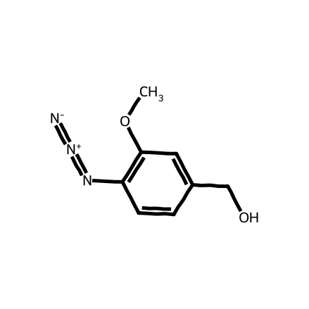 COc1cc(CO)ccc1N=[N+]=[N-]